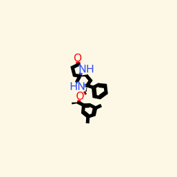 Cc1cc(C)cc([C@@H](C)OC[C@@]2(c3ccccc3)CC[C@]3(CCC(=O)N3)CN2)c1